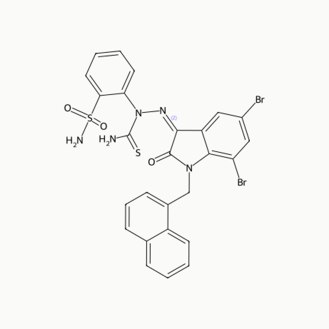 NC(=S)N(/N=C1\C(=O)N(Cc2cccc3ccccc23)c2c(Br)cc(Br)cc21)c1ccccc1S(N)(=O)=O